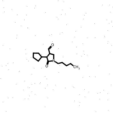 CCCCCN1CC(C=O)C(C2CCCC2)C1=O